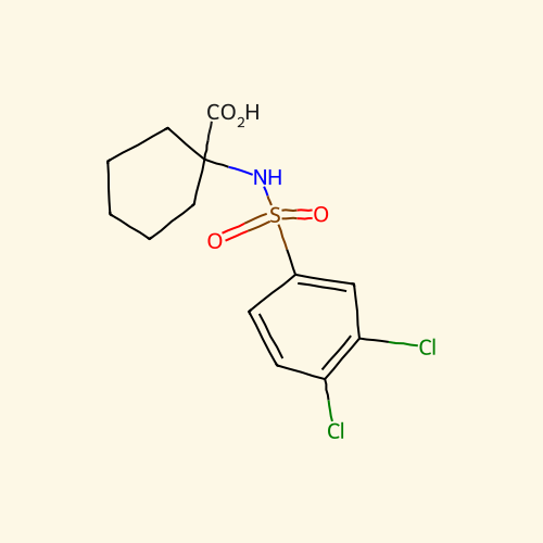 O=C(O)C1(NS(=O)(=O)c2ccc(Cl)c(Cl)c2)CCCCC1